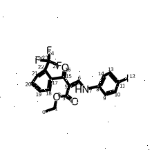 CCOC(=O)C(=CNc1ccc(I)cc1)C(=O)c1ccccc1C(F)(F)F